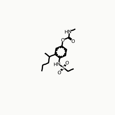 CCCC(C)c1cc(OC(=O)NC)ccc1NS(=O)(=O)CC